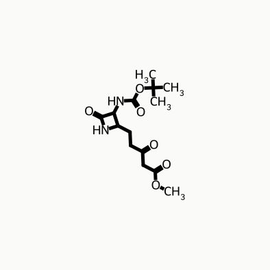 COC(=O)CC(=O)CCC1NC(=O)C1NC(=O)OC(C)(C)C